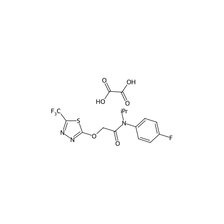 CC(C)N(C(=O)COc1nnc(C(F)(F)F)s1)c1ccc(F)cc1.O=C(O)C(=O)O